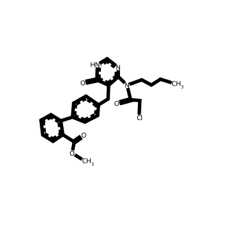 CCCCN(C(=O)CCl)c1nc[nH]c(=O)c1Cc1ccc(-c2ccccc2C(=O)OC)cc1